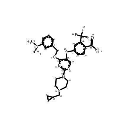 CN(C)c1cccc(COc2nc(N3CCN(CC4CC4)CC3)ncc2Sc2ccc(C(N)=O)c(C(F)(F)F)c2)c1